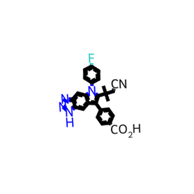 CC(C)(CC#N)c1c(-c2ccc(C(=O)O)cc2)c2cc3[nH]nnc3cc2n1-c1ccc(F)cc1